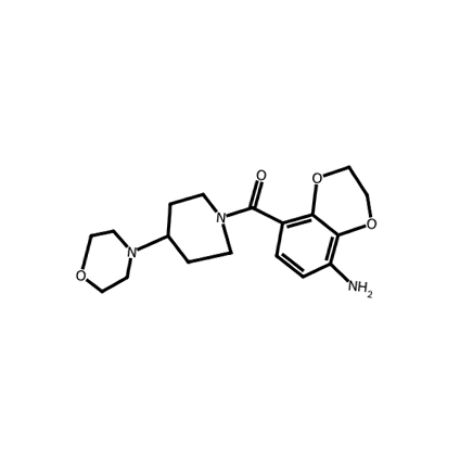 Nc1ccc(C(=O)N2CCC(N3CCOCC3)CC2)c2c1OCCO2